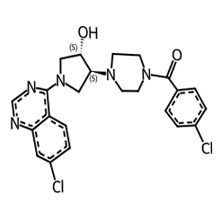 O=C(c1ccc(Cl)cc1)N1CCN([C@H]2CN(c3ncnc4cc(Cl)ccc34)C[C@@H]2O)CC1